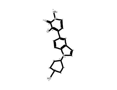 CCCCn1ccc(-c2ccc3c(ccn3C3CCC(O)CC3)c2)c(Cl)c1=O